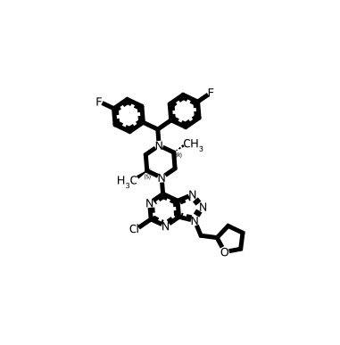 C[C@@H]1CN(c2nc(Cl)nc3c2nnn3CC2CCCO2)[C@@H](C)CN1C(c1ccc(F)cc1)c1ccc(F)cc1